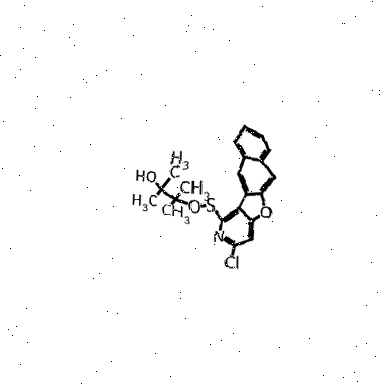 CC(C)(O)C(C)(C)OSc1nc(Cl)cc2oc3cc4ccccc4cc3c12